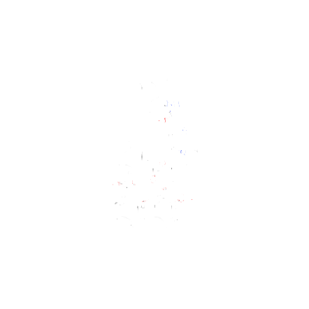 Cc1cccc(C)c1NC(=O)CN1CCN(CC(COc2ccccc2O)OC(=O)c2ccccc2OC(=O)c2ccccc2O)CC1